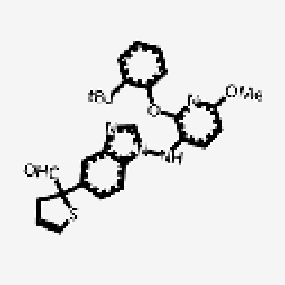 COc1ccc(Nn2cnc3cc(C4(C=O)CC=CS4)ccc32)c(Oc2ccccc2C(C)(C)C)n1